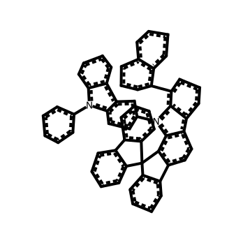 c1ccc(-n2c3ccccc3c3cc(-n4c5c(-c6cccc7ccccc67)cccc5c5ccc6c(c54)C4(c5ccccc5-c5ccccc54)c4ccccc4-6)ccc32)cc1